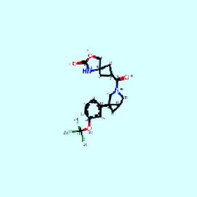 O=C1NC2(CO1)CC(C(=O)N1CC3CC3(c3cccc(OC(F)(F)F)c3)C1)C2